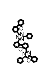 c1ccc(-c2nc(-c3cccc4c3oc3ccccc34)nc(-c3cccc4oc5c(-c6nc(-c7ccccc7)c7oc8ccccc8c7n6)cccc5c34)n2)cc1